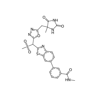 CNC(=O)c1cccc(-c2ccc3nc(C(c4nnc(CC5(C)NC(=O)NC5=O)o4)S(C)(=O)=O)sc3c2)c1